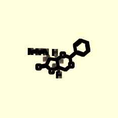 [N-]=[N+]=N[C@H]1C(=O)O[C@@H]2COC(c3ccccc3)O[C@@H]21